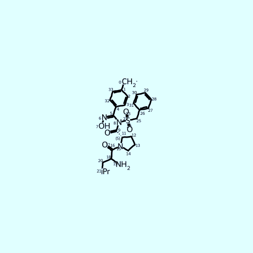 [CH2]c1ccc(C(=NO)N(C(=O)[C@@H]2CCCN2C(=O)C(N)CC(C)C)S(=O)(=O)Cc2ccccc2)cc1